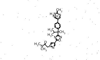 C=C(N)/N=C\C(=C/N)c1ccc(C(C)(c2noc(-c3cnn(CC(=O)N(C)C)c3)n2)C(C)C)cc1